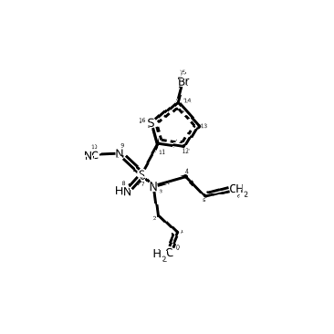 C=CCN(CC=C)S(=N)(=NC#N)c1ccc(Br)s1